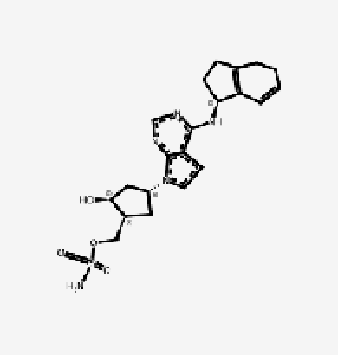 NS(=O)(=O)OC[C@@H]1C[C@@H](n2ccc3c(N[C@H]4CCC5=C4C=CCC5)ncnc32)C[C@@H]1O